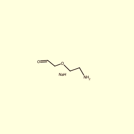 NCCOCC=O.[NaH]